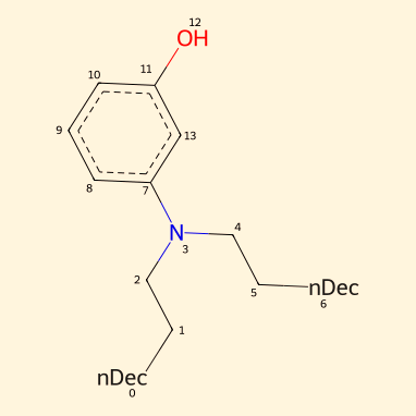 CCCCCCCCCCCCN(CCCCCCCCCCCC)c1cccc(O)c1